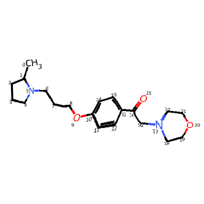 CC1CCCN1CCCOc1ccc(C(=O)CN2CCOCC2)cc1